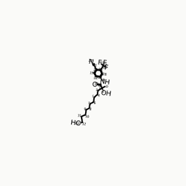 CC(O)(CCCCCCCCCCO)C(=O)Nc1ccc(C#N)c(C(F)(F)F)c1